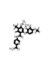 COc1cc(Oc2ccc(OC(F)(F)F)c(F)c2OC)c(C(=O)Nc2ccc(C(N)=O)nc2)c(F)c1C(F)(F)F